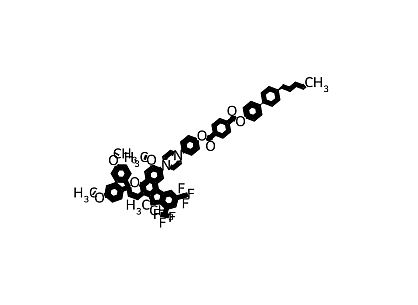 CCCCC[C@H]1CC[C@H](c2ccc(OC(=O)C3CCC(C(=O)Oc4ccc(N5CCN(c6cc7c8c(c9c(c7cc6OC)OC(c6ccc(OC)cc6)(c6ccc(OC)cc6)C=C9)C(C)(C)c6c-8cc(C(F)(F)F)cc6C(F)(F)F)CC5)cc4)CC3)cc2)CC1